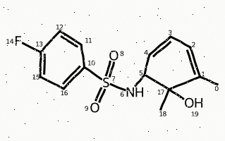 CC1=CC=CC(NS(=O)(=O)c2ccc(F)cc2)C1(C)O